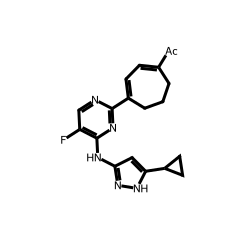 CC(=O)C1=CC=C(c2ncc(F)c(Nc3cc(C4CC4)[nH]n3)n2)CCC1